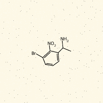 CC(N)c1cccc(Br)c1[N+](=O)[O-]